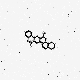 Nc1cc2c3c(ccc2c2c1CC(c1ccccc1)C([N+](=O)[O-])=C2)CCCC3